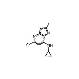 Cc1cc2nc(Cl)cc(NC3CC3)n2n1